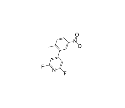 Cc1ccc([N+](=O)[O-])cc1-c1cc(F)nc(F)c1